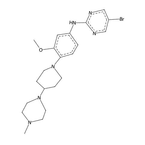 COc1cc(Nc2ncc(Br)cn2)ccc1N1CCC(N2CCN(C)CC2)CC1